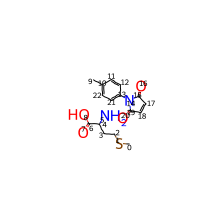 CSCC[C@H](N)C(=O)O.Cc1ccc(N2C(=O)C=CC2=O)cc1